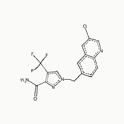 NC(=O)c1nn(Cc2ccc3ncc(Cl)cc3c2)cc1C(F)(F)F